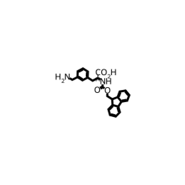 NCc1cccc(C[C@@H](NC(=O)OCC2c3ccccc3-c3ccccc32)C(=O)O)c1